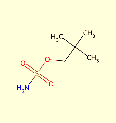 CC(C)(C)COS(N)(=O)=O